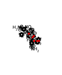 N[C@@H](CSc1ccccc1)C(=O)N(C1COCCN1C(=O)[C@H](CSc1ccccc1)Nc1ccc(S(N)(=O)=O)cc1[N+](=O)[O-])C1COCCN1C(=O)[C@H](CSc1ccccc1)Nc1ccc(S(N)(=O)=O)cc1[N+](=O)[O-]